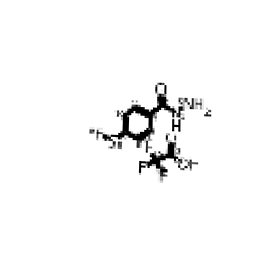 NNC(=O)c1ccc(SF)cc1.O=C(O)C(F)(F)F